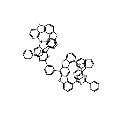 c1ccc(-c2nc(-c3cccc(-c4c5oc6cccc(-c7nc(-c8ccccc8)nc(-c8ccccc8)n7)c6c5cc5c4sc4cccc(-n6c7ccccc7c7ccccc76)c45)c3)nc(-c3ccc4sc5ccc6sc7cccc(-n8c9ccccc9c9ccccc98)c7c6c5c4c3)n2)cc1